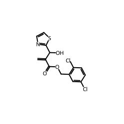 C=C(C(=O)OCc1cc(Cl)ccc1Cl)C(O)c1nccs1